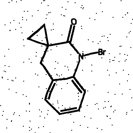 O=C1N(Br)c2ccccc2CC12CC2